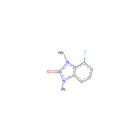 CCCn1c(=O)n(C(C)C)c2cccc(F)c21